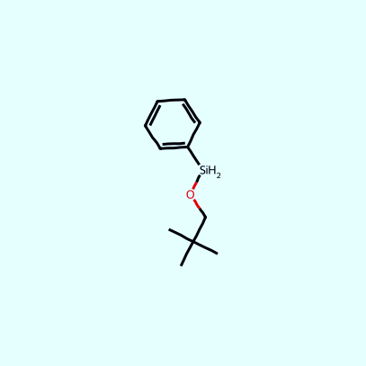 CC(C)(C)CO[SiH2]c1ccccc1